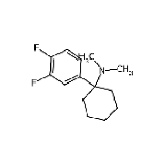 CN(C)C1(c2ccc(F)c(F)c2)CCCCC1